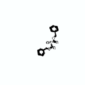 O=C(OCc1ccccc1)[S+]([O-])C(=O)OCc1ccccc1